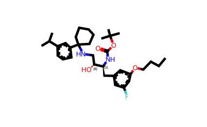 CCCCOc1cc(F)cc(C[C@H](NC(=O)OC(C)(C)C)[C@H](O)CNC2(c3cccc(C(C)C)c3)CCCCC2)c1